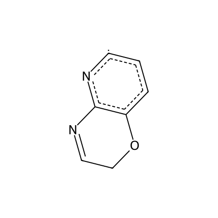 [c]1ccc2c(n1)N=CCO2